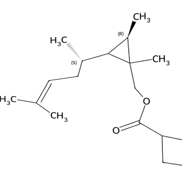 CC(C)=CC[C@H](C)C1[C@@H](C)C1(C)COC(=O)C1CCC1